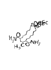 CCCCCCCCCCCCCCCCC(CC(C)C(CCCCCCCCCCCCCCCC)C(N)=O)C(N)=O